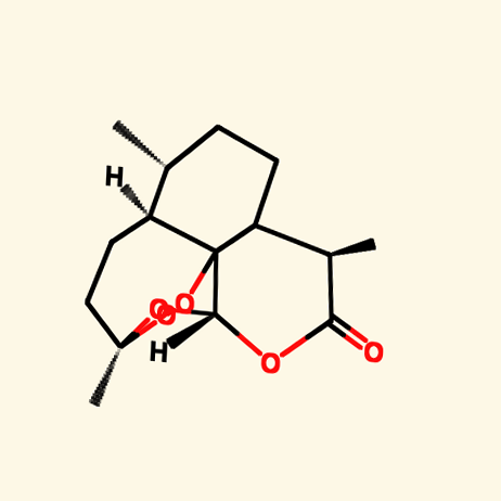 C[C@@H]1CCC2[C@@H](C)C(=O)O[C@@H]3O[C@]4(C)CC[C@@H]1C23OO4